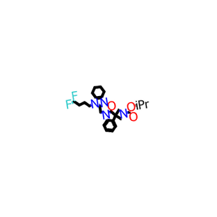 CC(C)OC(=O)N1CC2(C1)C(=O)N(Cc1nc3c(n1CCCC(F)F)CCCC3)c1ccccc12